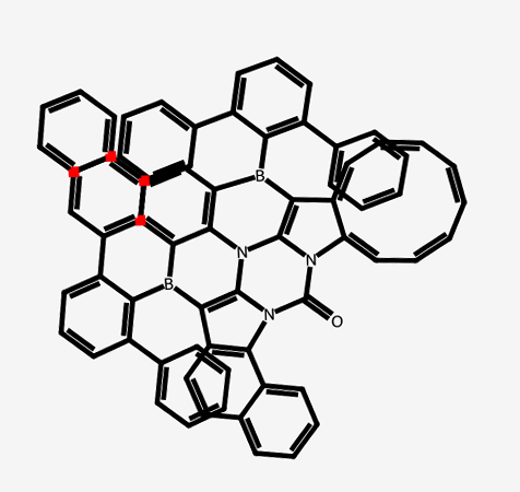 O=c1n2c3ccccccccc3c3c2n2c4c(c5ccc6ccccc6c5n14)B(c1c(-c4ccccc4)cccc1-c1ccccc1)c1cc(-c4ccccc4)cc(c1-2)B3c1c(-c2ccccc2)cccc1-c1ccccc1